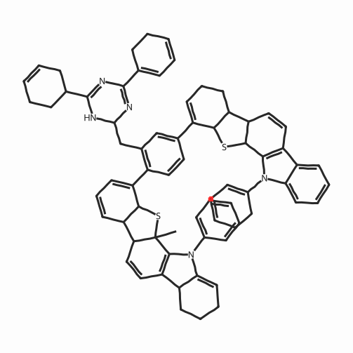 CC12SC3C(c4ccc(C5=CCCC6C5SC5c7c(c8ccccc8n7C7=CC=CCC7)C=CC56)cc4CC4N=C(C5=CC=CCC5)N=C(C5CC=CCC5)N4)=CC=CC3C1C=CC1=C2N(c2ccccc2)C2=CCCCC21